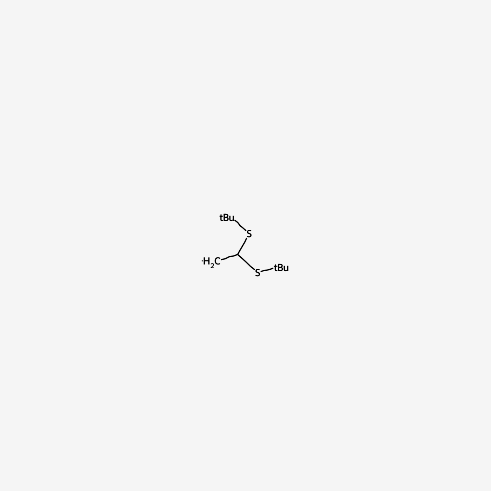 [CH2]C(SC(C)(C)C)SC(C)(C)C